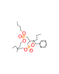 CCCCOP(=O)(CC(CCc1ccccc1)CP(=O)(OCCCC)OCCCC)OCCCC